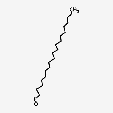 CCCCCCCCCCCCCCCCCCCCP=O